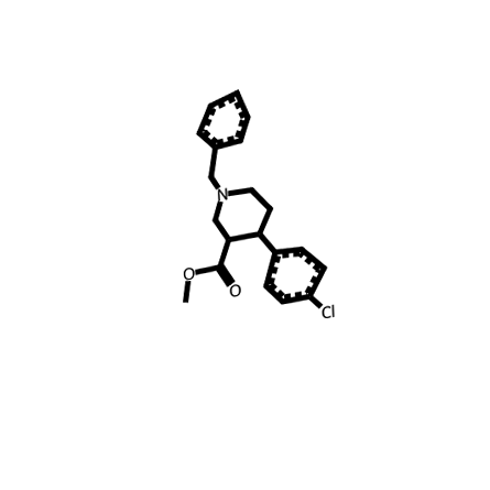 COC(=O)C1CN(Cc2ccccc2)CCC1c1ccc(Cl)cc1